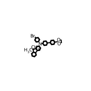 CC1(C)c2ccccc2-c2ccc(N(c3ccc(Br)cc3)c3ccc(-c4ccc(C5OCCO5)cc4)cc3)cc21